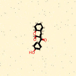 O=C(c1ccc(O)cc1)c1cc2ccccc2oc1=O